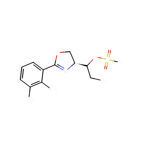 CC(=O)OCC(OS(C)(=O)=O)[C@@H]1COC(c2cccc(OC(C)=O)c2C)=N1